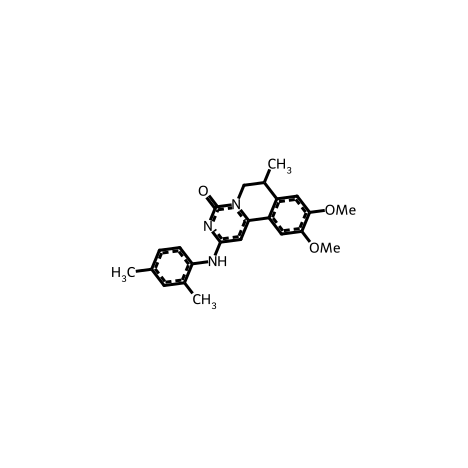 COc1cc2c(cc1OC)C(C)Cn1c-2cc(Nc2ccc(C)cc2C)nc1=O